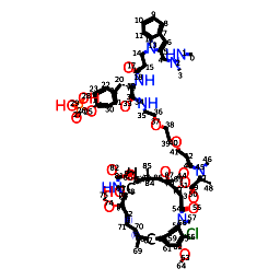 CNN(C)Cc1cc2ccccc2n1CCC(=O)N[C@@H](Cc1ccc(OP(=O)(O)O)cc1)C(=O)NCCOCCOCCC(=O)N(C)[C@@H](C)C(=O)O[C@H]1CC(=O)N(C)c2cc(cc(OC)c2Cl)C/C(C)=C/C=C/[C@@H](OC)[C@@]2(O)C[C@H](OC(=O)N2)[C@@H](C)C2O[C@]21C